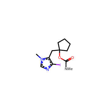 CNC(=O)OC1(Cc2c(I)ncn2C)CCCC1